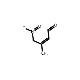 CC(=CC=O)C[N+](=O)[O-]